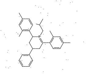 Cc1ccc(C2=[P](CC(C)C)C(c3ccc(C)cc3C)CC(c3ccccc3)C2)c(C)c1